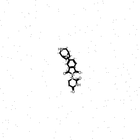 O=C1CCN(N2C(=O)c3ccc(N4C5CCC4CNC5)cc3C2=O)C(=O)N1